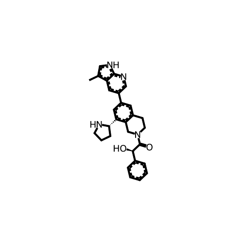 Cc1c[nH]c2ncc(-c3cc4c(c([C@@H]5CCCN5)c3)CN(C(=O)[C@H](O)c3ccccc3)CC4)cc12